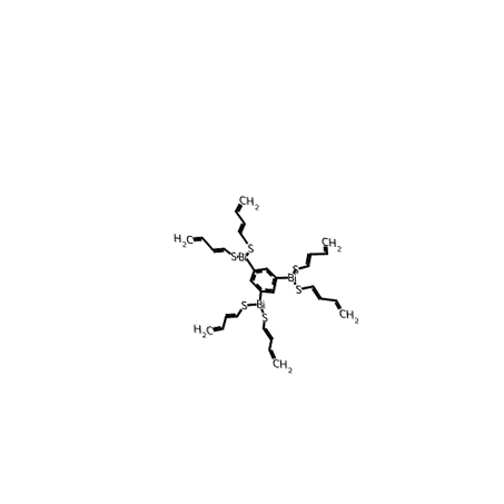 C=CC=C[S][Bi]([S]C=CC=C)[c]1c[c]([Bi]([S]C=CC=C)[S]C=CC=C)c[c]([Bi]([S]C=CC=C)[S]C=CC=C)c1